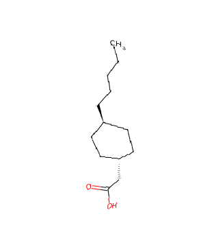 CCCCC[C@H]1CC[C@H](CC(=O)O)CC1